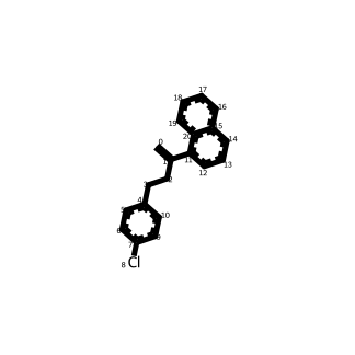 C=C(CCc1ccc(Cl)cc1)c1cccc2ccccc12